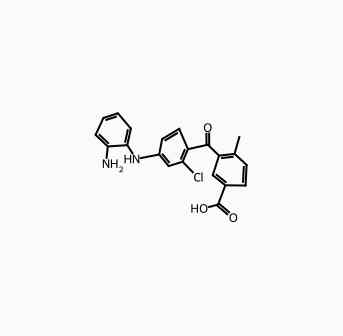 Cc1ccc(C(=O)O)cc1C(=O)c1ccc(Nc2ccccc2N)cc1Cl